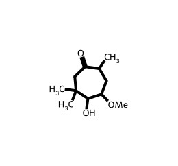 COC1CC(C)C(=O)CC(C)(C)C1O